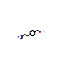 NNC(=O)Cc1ccc(CCc2cnc[nH]2)cc1